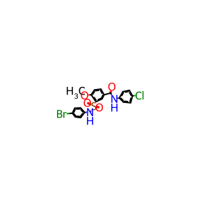 COc1ccc(C(=O)Nc2ccc(Cl)cc2)cc1S(=O)(=O)Nc1ccc(Br)cc1